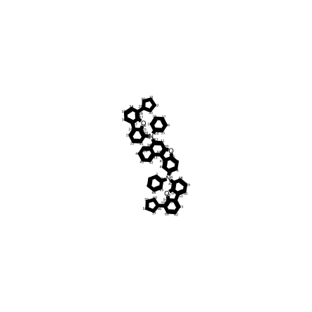 c1ccc(N(c2ccc3oc4cc(N(c5ccccc5)c5cccc6c5oc5c(C7CCCC7)cccc56)c5ccccc5c4c3c2)c2cccc3c2oc2c(C4CCCC4)cccc23)cc1